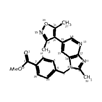 COC(=O)c1ccc(Cn2c(C)nc3ncc(-c4c(C)noc4C)cc32)cc1